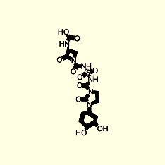 O=C(O)N[C@H]1CN(C(=O)NS(=O)(=O)NC(=O)N2CCN(c3ccc(O)c(O)c3)C2=O)C1=O